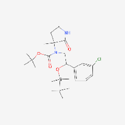 CC(C)(C)OC(=O)N(CC(O[Si](C)(C)C(C)(C)C)c1cccc(Cl)c1)C1(C)CCNC1=O